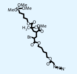 COC(=O)C(CC(Br)C(=O)OCCCCCOC(=O)CN=[N+]=[N-])CC(C)(C)C(=O)OCCCC[Si](OC)(OC)OC